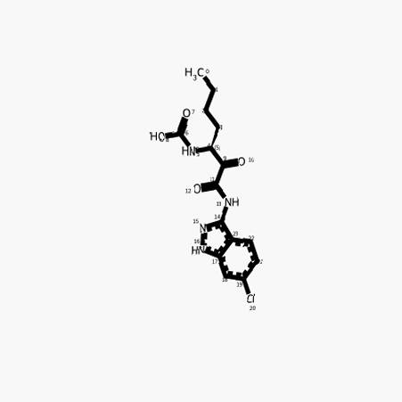 CCCC[C@H](NC(=O)O)C(=O)C(=O)Nc1n[nH]c2cc(Cl)ccc12